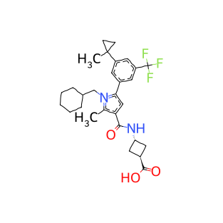 Cc1c(C(=O)N[C@H]2C[C@H](C(=O)O)C2)cc(-c2cc(C(F)(F)F)cc(C3(C)CC3)c2)n1CC1CCCCC1